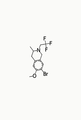 COc1cc2c(cc1Br)CN(CC(F)(F)F)C(C)C2